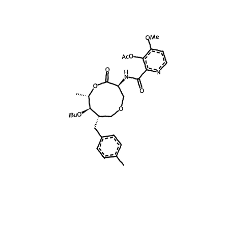 COc1ccnc(C(=O)N[C@H]2COC[C@H](Cc3ccc(C)cc3)[C@@H](OCC(C)C)[C@H](C)OC2=O)c1OC(C)=O